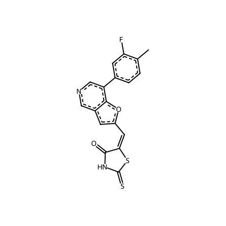 Cc1ccc(-c2cncc3cc(/C=C4/SC(=S)NC4=O)oc23)cc1F